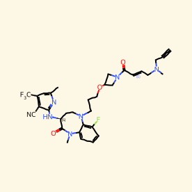 C#CCN(C)C/C=C/C(=O)N1CC(OCCCN2CC[C@H](Nc3nc(C)cc(C(F)(F)F)c3C#N)C(=O)N(C)c3cccc(F)c32)C1